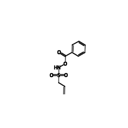 C=CCS(=O)(=O)NOC(=O)c1ccccc1